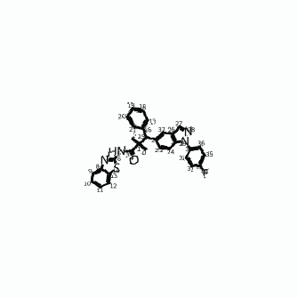 CC(C)(C(=O)Nc1nc2ccccc2s1)C(c1ccccc1)c1ccc2c(cnn2-c2ccc(F)cc2)c1